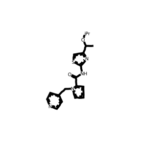 CC(C)OC(C)c1csc(NC(=O)c2cccn2Cc2ccncc2)n1